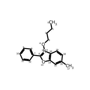 CCCCO[n+]1c(-c2ccccc2)oc2cc(C)ccc21